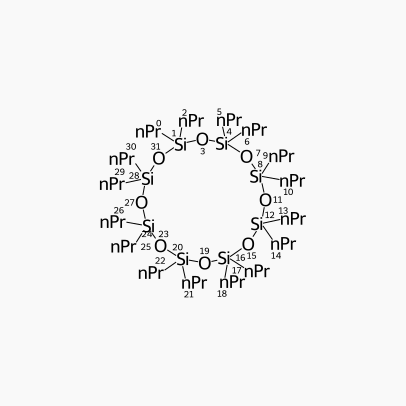 CCC[Si]1(CCC)O[Si](CCC)(CCC)O[Si](CCC)(CCC)O[Si](CCC)(CCC)O[Si](CCC)(CCC)O[Si](CCC)(CCC)O[Si](CCC)(CCC)O[Si](CCC)(CCC)O1